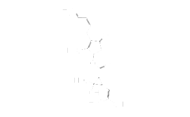 C=C/C=C\CC1=C(C)C(OC(=O)[C@@H]2[C@@H](C=C(C)C)C2(C)C)CC1=O